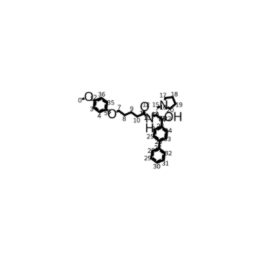 COc1ccc(OCCCCC(=O)N[C@H](CN2CCCC2)[C@H](O)c2ccc(-c3ccccc3)cc2)cc1